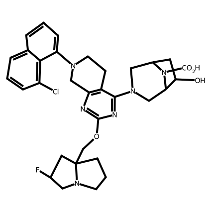 O=C(O)N1C2CC(O)C1CN(c1nc(OCC34CCCN3CC(F)C4)nc3c1CCN(c1cccc4cccc(Cl)c14)C3)C2